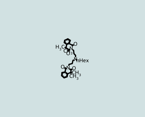 CCCCCCN(CCCN1C(=O)c2ccccc2C(C)(C)C1=O)CCCN1C(=O)c2ccccc2C(C)(C)C1=O